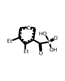 CCc1cccc(C(=O)P(=O)(O)O)c1CC